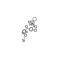 C[Si](C)(C)CCOc1nccc(C(=O)c2ccc(Cl)c(C(=O)NCC3(O)CCCCC3)c2)n1